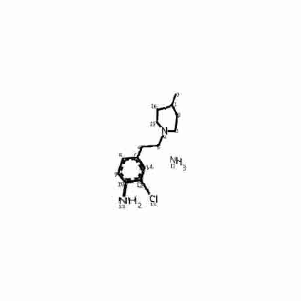 CC1CCN(CCc2ccc(N)c(Cl)c2)CC1.N